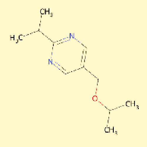 CC(C)OCc1cnc(C(C)C)nc1